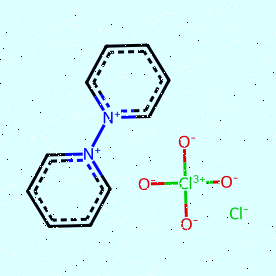 [Cl-].[O-][Cl+3]([O-])([O-])[O-].c1cc[n+](-[n+]2ccccc2)cc1